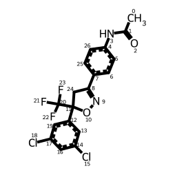 CC(=O)Nc1ccc(C2=NOC(c3cc(Cl)cc(Cl)c3)(C(F)(F)F)C2)cc1